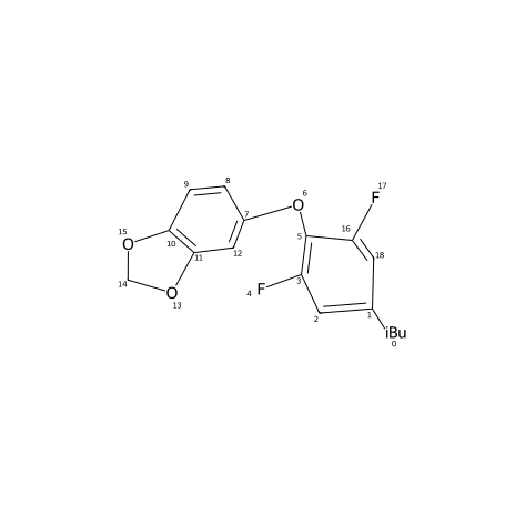 CCC(C)c1cc(F)c(Oc2ccc3c(c2)OCO3)c(F)c1